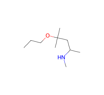 CCCOC(C)(C)CC(C)NC